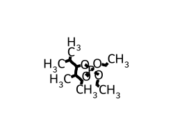 CCOP(=O)(OCC)OC(C(C)C)C(C)CC